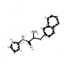 NC(Cc1ccc2ccccc2c1)C(=O)Nc1cccs1